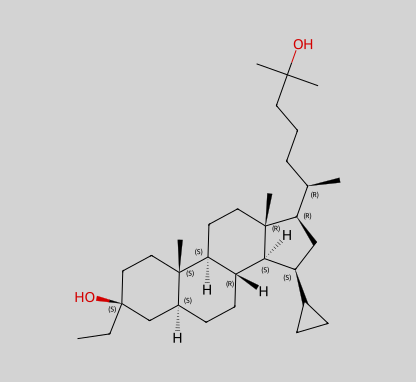 CC[C@]1(O)CC[C@@]2(C)[C@@H](CC[C@H]3[C@@H]4[C@H](C5CC5)C[C@H]([C@H](C)CCCC(C)(C)O)[C@@]4(C)CC[C@@H]32)C1